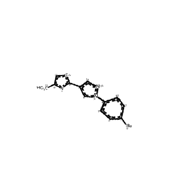 CC(C)(C)c1ccc(-n2cc(-c3nc(C(=O)O)cs3)cn2)cc1